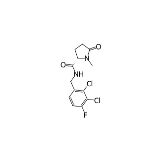 CN1C(=O)CC[C@H]1C(=O)NCc1ccc(F)c(Cl)c1Cl